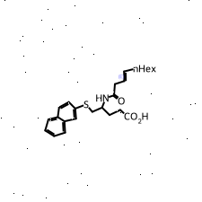 CCCCCC/C=C/CC(=O)NC(CCC(=O)O)CSc1ccc2ccccc2c1